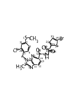 CSc1ccc(Cn2c(C)nc3ccc(C(=O)NS(=O)(=O)c4ccc(Br)s4)nc32)c(Cl)c1